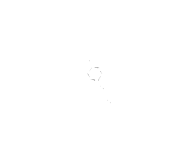 CN1CCN(c2ccc(NCC(=O)O)cc2)CC1